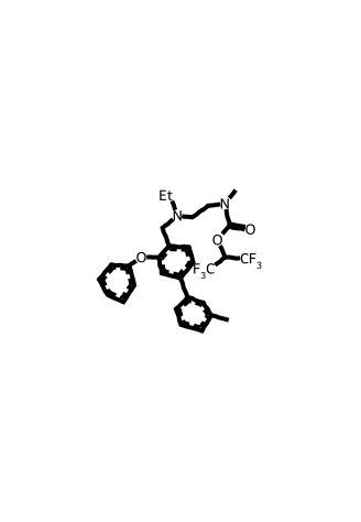 CCN(CCN(C)C(=O)OC(C(F)(F)F)C(F)(F)F)Cc1ccc(-c2cccc(C)c2)cc1Oc1ccccc1